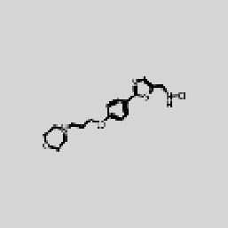 ClNCc1cnc(-c2ccc(OCCCN3CCOCC3)cc2)s1